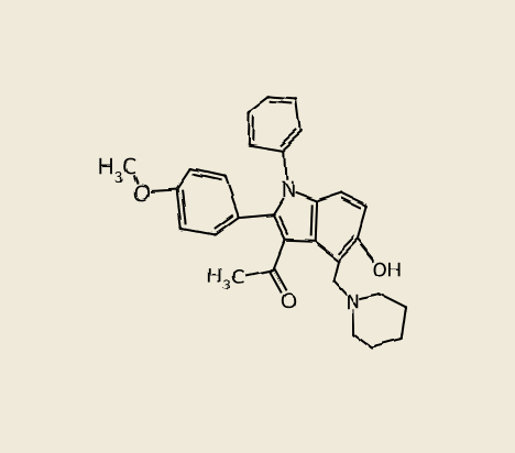 COc1ccc(-c2c(C(C)=O)c3c(CN4CCCCC4)c(O)ccc3n2-c2ccccc2)cc1